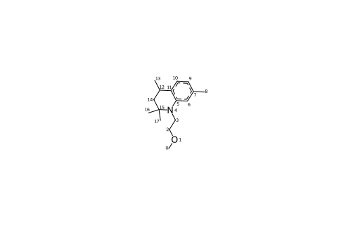 COCCN1c2cc(C)ccc2C(C)CC1(C)C